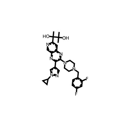 CC(C)(O)C(C)(O)c1cc2nc(N3CCN(Cc4ccc(F)cc4F)CC3)c(-c3cnn(C4CC4)c3)nc2cn1